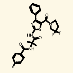 CC(C)(NC(=O)c1ccc(F)cc1)C(=O)Nc1nc(-c2ccccc2)c(C(=O)N2CCC(F)(F)C2)s1